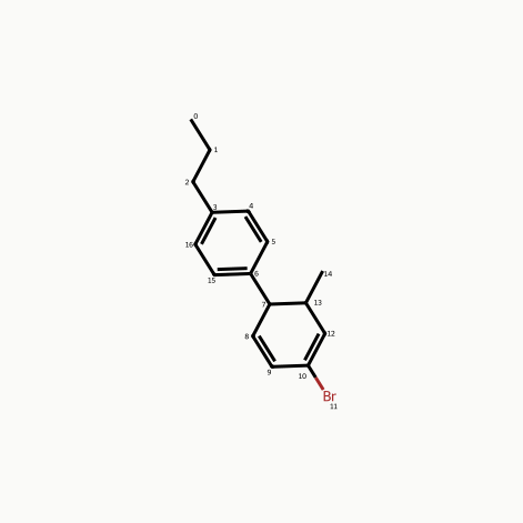 CCCc1ccc(C2C=CC(Br)=CC2C)cc1